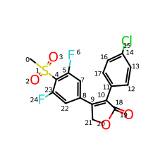 CS(=O)(=O)c1c(F)cc(C2=C(c3ccc(Cl)cc3)C(=O)OC2)cc1F